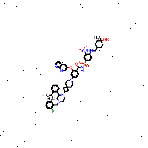 CC(C)c1ccccc1C1CN(Cc2ccccc2F)CCN1C1CC2(CCN(c3ccc(C(=O)NS(=O)(=O)c4ccc(NCC5CCC(C)(O)CC5)c([N+](=O)[O-])c4)c(Oc4cnc5[nH]ccc5c4)c3)CC2)C1